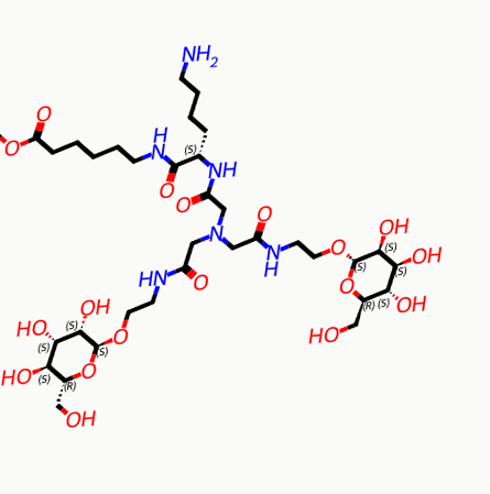 COC(=O)CCCCCNC(=O)[C@H](CCCCN)NC(=O)CN(CC(=O)NCCO[C@H]1O[C@H](CO)[C@@H](O)[C@H](O)[C@@H]1O)CC(=O)NCCO[C@H]1O[C@H](CO)[C@@H](O)[C@H](O)[C@@H]1O